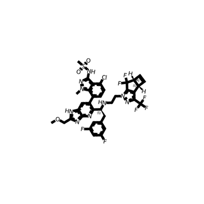 COCc1nc2nc([C@H](Cc3cc(F)cc(F)c3)NCCn3nc(C(F)(F)F)c4c3C(F)(F)[C@@H]3C=C[C@H]43)c(-c3ccc(Cl)c4c(NS(C)(=O)=O)nn(C)c34)cc2[nH]1